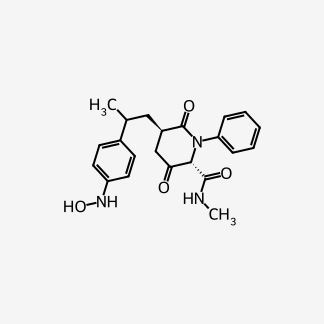 CNC(=O)[C@@H]1C(=O)C[C@@H](CC(C)c2ccc(NO)cc2)C(=O)N1c1ccccc1